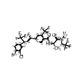 CC(NC(=O)c1ccc(/C(F)=C/C(c2ccc(Br)c(Cl)c2)C(F)(F)F)cc1C(F)(F)F)C(=O)N(C)CC(F)(F)F